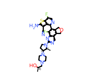 C[C@@H](O)CN1CCN([C@H]2CCN(c3ncc4c5c(c(-c6ncc(F)c7sc(N)c(C#N)c67)c(F)c4n3)COC5)[C@H]2C)CC1